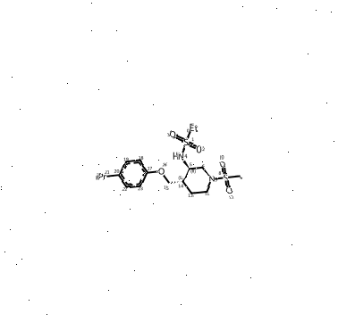 CCS(=O)(=O)N[C@H]1CN(S(C)(=O)=O)CC[C@@H]1COc1ccc(C(C)C)cc1